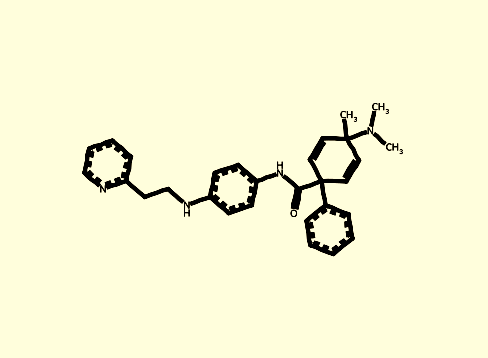 CN(C)C1(C)C=CC(C(=O)Nc2ccc(NCCc3ccccn3)cc2)(c2ccccc2)C=C1